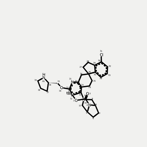 CC(C)(C)OC(=O)N1C2CCC1CN(c1nc(OC[C@@H]3CCCN3)nc3c1CCC1(CCc4c(Cl)cccc41)C3)C2